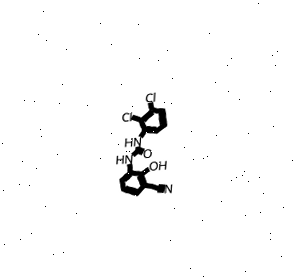 N#Cc1cccc(NC(=O)Nc2cccc(Cl)c2Cl)c1O